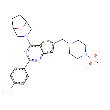 CS(=O)(=O)N1CCN(Cc2cc3nc(-c4ccc(N)cc4)nc(N4CC5CCC(C4)O5)c3s2)CC1